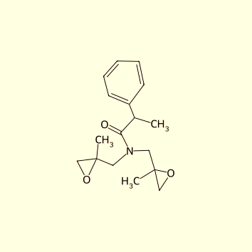 CC(C(=O)N(CC1(C)CO1)CC1(C)CO1)c1ccccc1